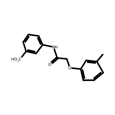 Cc1cccc(OCC(=O)Nc2cccc(C(=O)O)c2)c1